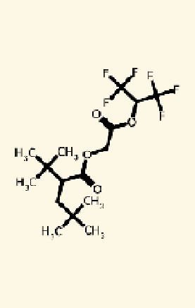 CC(C)(C)CC(C(=O)OCC(=O)OC(C(F)(F)F)C(F)(F)F)C(C)(C)C